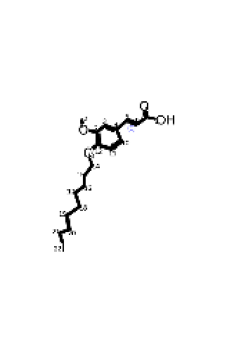 COc1cc(/C=C/C(=O)O)ccc1OCCCCCCCCI